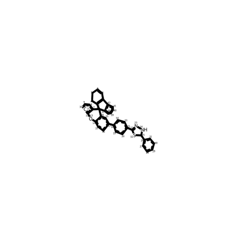 C1=CC2=C(CC1)C1(c3ccccc3Oc3ccc(-c4ccc(C5=NNC(c6ccccc6)S5)cc4)cc31)c1ccccc12